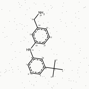 CC(C)(C)c1cncc(Nc2cccc(CN)c2)c1